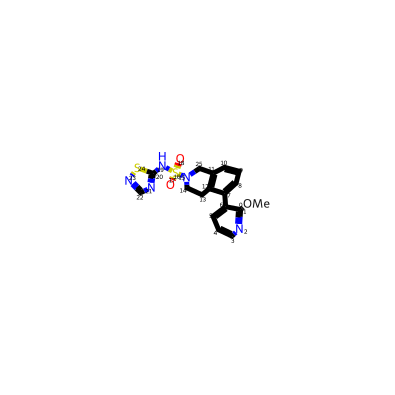 COc1ncccc1-c1cccc2c1CCN(S(=O)(=O)Nc1ncns1)C2